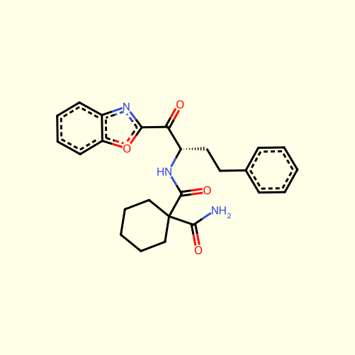 NC(=O)C1(C(=O)N[C@@H](CCc2ccccc2)C(=O)c2nc3ccccc3o2)CCCCC1